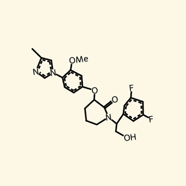 COc1cc(OC2CCCN(C(CO)c3cc(F)cc(F)c3)C2=O)ccc1-n1cnc(C)c1